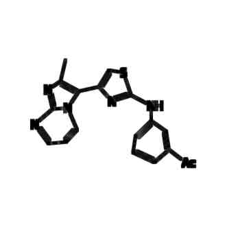 CC(=O)c1cccc(Nc2nc(-c3c(C)nc4ncccn34)cs2)c1